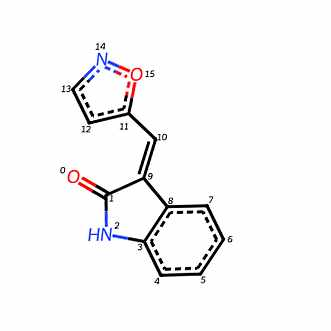 O=C1Nc2ccccc2C1=Cc1ccno1